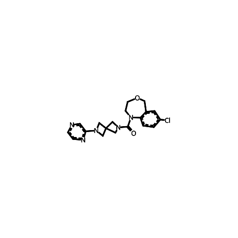 O=C(N1CC2(C1)CN(c1cnccn1)C2)N1CCOCc2cc(Cl)ccc21